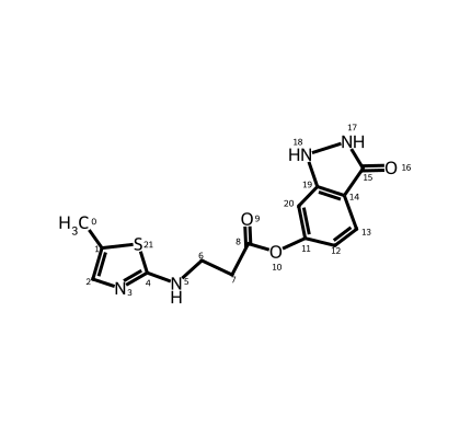 Cc1cnc(NCCC(=O)Oc2ccc3c(=O)[nH][nH]c3c2)s1